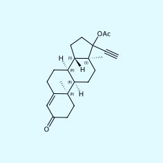 C#CC1(OC(C)=O)CC[C@H]2[C@@H]3CCC4=CC(=O)CC[C@]4(C)[C@@H]3CC[C@@]21C